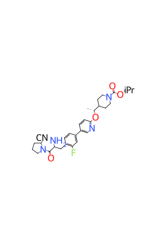 CC(C)OC(=O)N1CCC([C@@H](C)Oc2ccc(-c3ccc(CC(N)C(=O)N4CCCC4C#N)c(F)c3)cn2)CC1